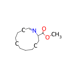 COC(=O)C1CCCCCCCCCC=N1